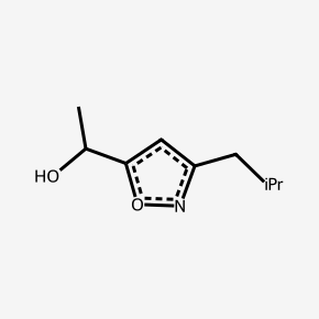 CC(C)Cc1cc(C(C)O)on1